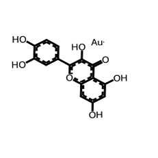 O=c1c(O)c(-c2ccc(O)c(O)c2)oc2cc(O)cc(O)c12.[Au]